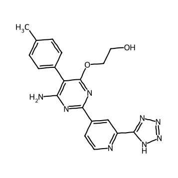 Cc1ccc(-c2c(N)nc(-c3ccnc(-c4nnn[nH]4)c3)nc2OCCO)cc1